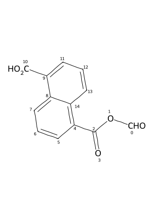 O=COC(=O)c1cccc2c(C(=O)O)cccc12